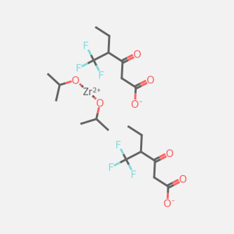 CC(C)[O][Zr+2][O]C(C)C.CCC(C(=O)CC(=O)[O-])C(F)(F)F.CCC(C(=O)CC(=O)[O-])C(F)(F)F